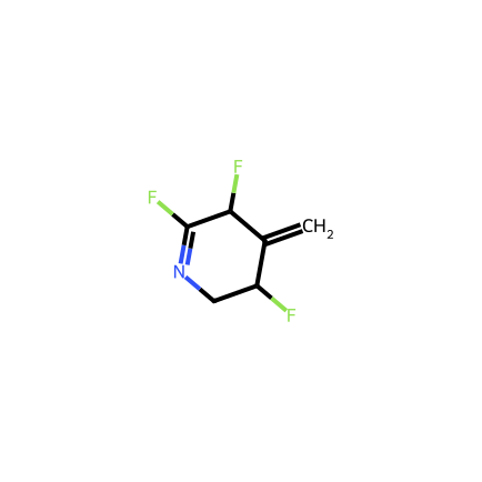 C=C1C(F)CN=C(F)C1F